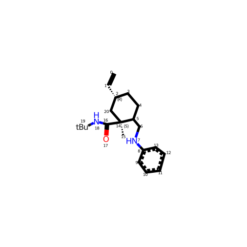 C=C[C@@H]1CCC(CNc2ccccc2)[C@@](C)(C(=O)NC(C)(C)C)C1